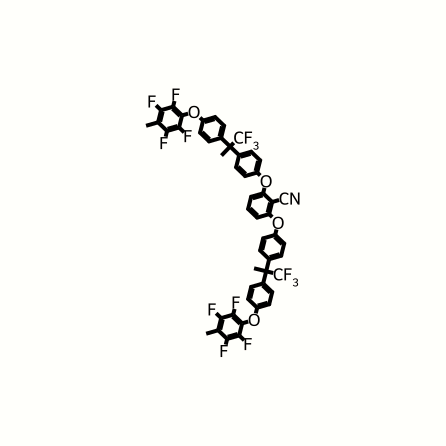 Cc1c(F)c(F)c(Oc2ccc(C(C)(c3ccc(Oc4cccc(Oc5ccc(C(C)(c6ccc(Oc7c(F)c(F)c(C)c(F)c7F)cc6)C(F)(F)F)cc5)c4C#N)cc3)C(F)(F)F)cc2)c(F)c1F